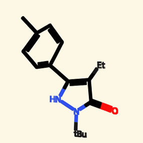 CCc1c(-c2ccc(C)cc2)[nH]n(C(C)(C)C)c1=O